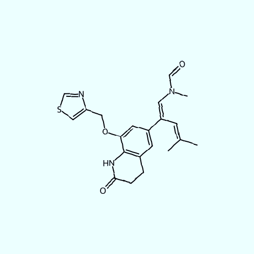 CC(C)=C/C(=C\N(C)C=O)c1cc2c(c(OCc3cscn3)c1)NC(=O)CC2